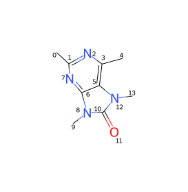 Cc1nc(C)c2c(n1)n(C)c(=O)n2C